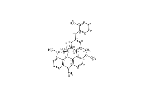 COc1ccccc1P(c1c(OC)ccc(OC)c1-c1c(C)cc(Cc2ccccc2C)cc1C)C(C)(C)C